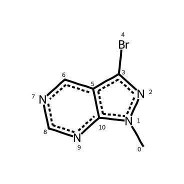 Cn1nc(Br)c2cncnc21